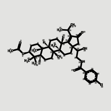 CC(=O)O[C@H]1CC[C@]2(C)[C@H]3CC[C@@H]4C5=C(C(C)C)C(=O)C[C@]5(C(O)CNC(=O)c5ccc(Cl)cc5)CC[C@@]4(C)[C@]3(C)CC[C@H]2C1(C)C